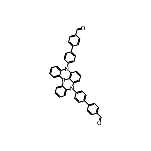 O=Cc1ccc(-c2ccc(N3c4ccccc4B4c5ccccc5N(c5ccc(-c6ccc(C=O)cc6)cc5)c5cccc3c54)cc2)cc1